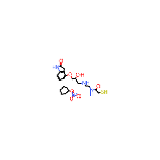 O=C(CS)NCCNCC(O)COc1cccc2c1CC(=O)N2.O=[N+]([O-])OC1CCCCC1